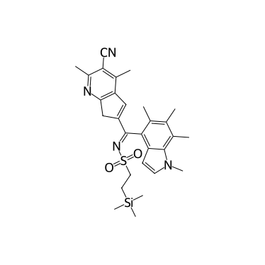 Cc1nc2c(c(C)c1C#N)C=C(/C(=N/S(=O)(=O)CC[Si](C)(C)C)c1c(C)c(C)c(C)c3c1ccn3C)C2